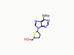 CNc1ncnc2c1ncn2[C@H]1CC[C@@H](CO)S1